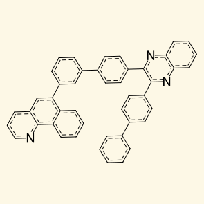 c1ccc(-c2ccc(-c3nc4ccccc4nc3-c3ccc(-c4cccc(-c5cc6cccnc6c6ccccc56)c4)cc3)cc2)cc1